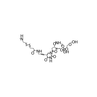 CNCCSSCCC(=O)NCC#Cc1cn([C@H]2CC(ON)[C@@H](COP(=O)(O)OCOCO)O2)c(=O)[nH]c1=O